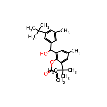 C=CC(=O)Oc1c(C(O)c2cc(C)cc(C(C)(C)C)c2)cc(C)cc1C(C)(C)C